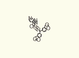 O=C(N1CCN(C(c2ccc3c(c2)COCO3)c2ccc3c(c2)COCO3)CC1)n1nnc2cnccc21